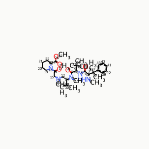 CN[C@H](C(=O)N[C@H](C(=O)N(C)[C@H](CN(C)CC(=O)N1CCCC[C@H]1C(=O)OC)C(C)C)C(C)(C)C)C(C)(C)c1ccccc1